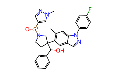 Cc1cc2c(cnn2-c2ccc(F)cc2)cc1C1(C(O)c2ccccc2)CCN([S+]([O-])c2cnn(C)c2)C1